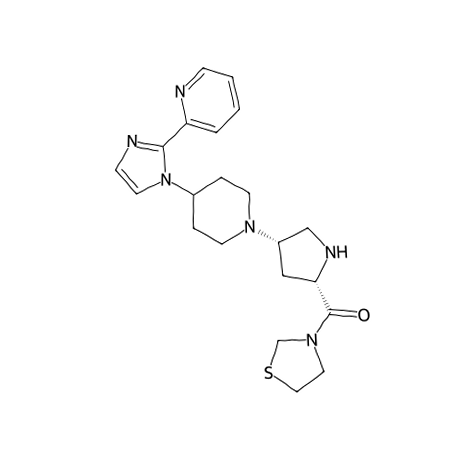 O=C([C@@H]1C[C@H](N2CCC(n3ccnc3-c3ccccn3)CC2)CN1)N1CCSC1